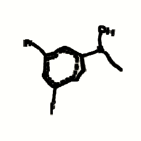 CB(O)c1cc(F)cc(C(C)C)c1